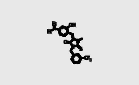 CCN(CC)c1ccc(/C=C2\C(=O)N(Cc3cccc(C(F)(F)F)c3)C(=S)N2C)c(O)c1